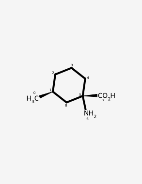 C[C@H]1CCC[C@@](N)(C(=O)O)C1